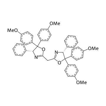 COc1ccc(C2(c3ccc(OC)cc3)OC(CC3=N[C@H](c4ccccc4)C(c4ccc(OC)cc4)(c4ccc(OC)cc4)O3)=N[C@@H]2c2ccccc2)cc1